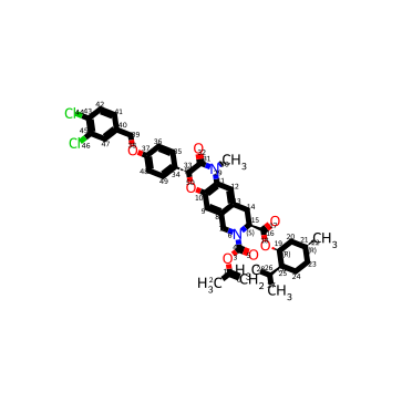 C=C(C)OC(=O)N1Cc2cc3c(cc2C[C@H]1C(=O)O[C@@H]1C[C@H](C)CC[C@H]1C(C)C)N(C)C(=O)[C@@H](c1ccc(OCc2ccc(Cl)c(Cl)c2)cc1)O3